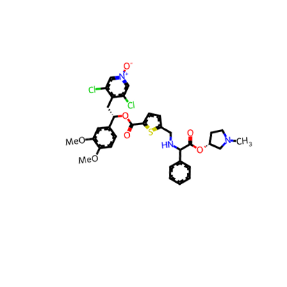 COc1ccc([C@H](Cc2c(Cl)c[n+]([O-])cc2Cl)OC(=O)c2ccc(CNC(C(=O)O[C@@H]3CCN(C)C3)c3ccccc3)s2)cc1OC